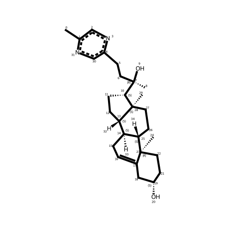 Cc1cnc(CC[C@@](C)(O)[C@H]2CC[C@H]3[C@@H]4CC=C5C[C@@H](O)CC[C@]5(C)[C@H]4CC[C@@]32C)cn1